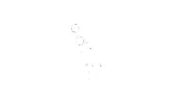 CC(C)[C@@H]1CC[C@@H](C)C[C@H]1OC(=O)[C@H](C)C[C@@H](C)Cc1ccc(-c2ccccc2)cc1